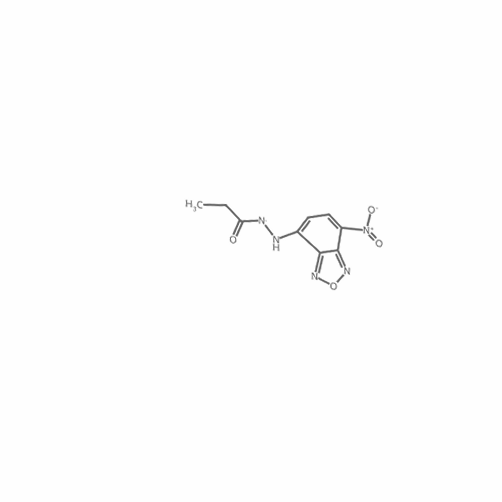 CCC(=O)[N]Nc1ccc([N+](=O)[O-])c2nonc12